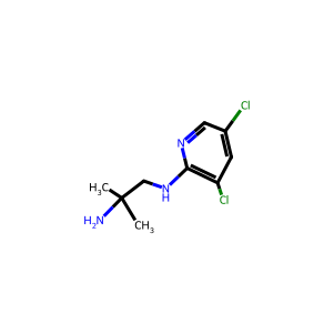 CC(C)(N)CNc1ncc(Cl)cc1Cl